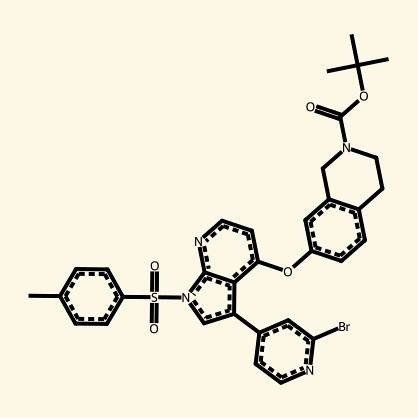 Cc1ccc(S(=O)(=O)n2cc(-c3ccnc(Br)c3)c3c(Oc4ccc5c(c4)CN(C(=O)OC(C)(C)C)CC5)ccnc32)cc1